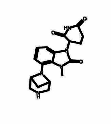 Cn1c(=O)n(C2CCC(=O)NC2=O)c2cccc(N3C4CNCC3C4)c21